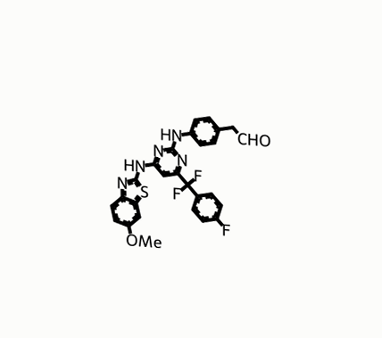 COc1ccc2nc(Nc3cc(C(F)(F)c4ccc(F)cc4)nc(Nc4ccc(CC=O)cc4)n3)sc2c1